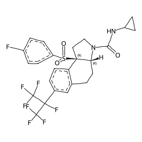 O=C(NC1CC1)N1CC[C@@]2(S(=O)(=O)c3ccc(F)cc3)c3ccc(C(F)(C(F)(F)F)C(F)(F)F)cc3CC[C@@H]12